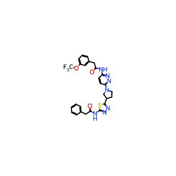 O=C(Cc1cccc(OC(F)(F)F)c1)Nc1ccc(N2CCC(c3nnc(NC(=O)Cc4ccccc4)s3)C2)nn1